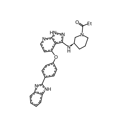 CCC(=O)N1CCC[C@@H](Nc2n[nH]c3nccc(Oc4ccc(-c5nc6ccccc6[nH]5)cc4)c23)C1